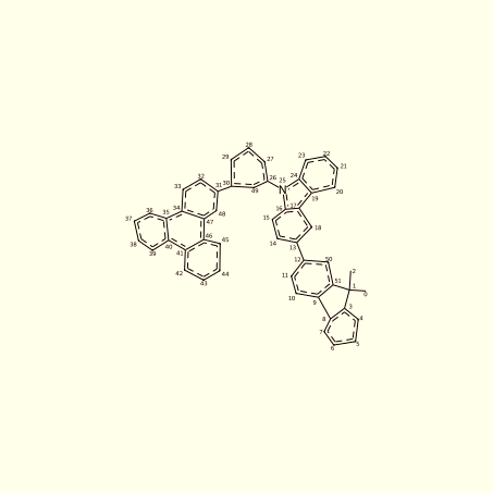 CC1(C)c2ccccc2-c2ccc(-c3ccc4c(c3)c3ccccc3n4-c3cccc(-c4ccc5c6ccccc6c6ccccc6c5c4)c3)cc21